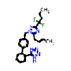 C/C=C/Cc1nc(C(F)(F)CCC)nn1Cc1ccc(-c2ccccc2-c2nnn[nH]2)cc1